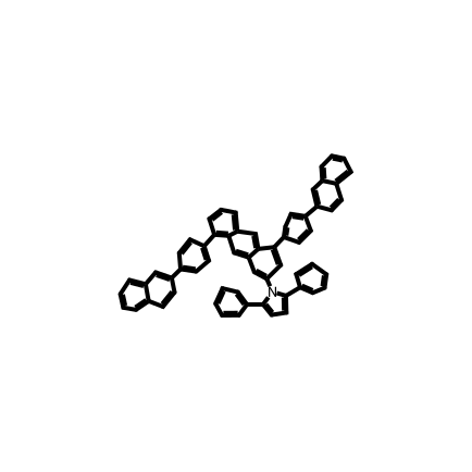 c1ccc(-c2ccc(-c3ccccc3)n2-c2cc(-c3ccc(-c4ccc5ccccc5c4)cc3)c3cc4cccc(-c5ccc(-c6ccc7ccccc7c6)cc5)c4cc3c2)cc1